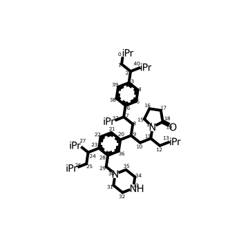 CC(C)CC(c1ccc(C(CC(CC(CC(C)C)N2CCCC2=O)c2ccc(C(CC(C)C)C(C)C)c(CN3CCNCC3)c2)C(C)C)cc1)C(C)C